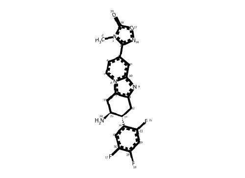 Cn1c(-c2ccn3c4c(nc3c2)C[C@H](c2cc(F)c(F)cc2F)[C@@H](N)C4)noc1=O